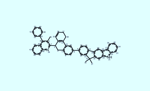 Cc1c(C2Cc3ccc(-c4ccc5c(c4)C(C)(C)c4cc6[nH]c7ccccc7c6cc4-5)cc3C3=C2C=CCC3)nc2ccccc2c1-c1ccccc1